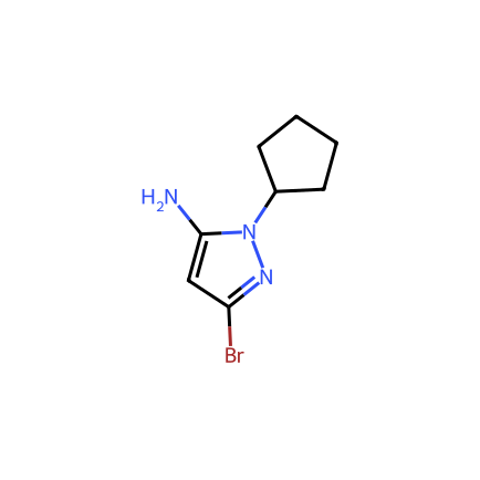 Nc1cc(Br)nn1C1CCCC1